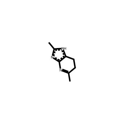 CC1=Nc2nc(C)[nH]c2CC1